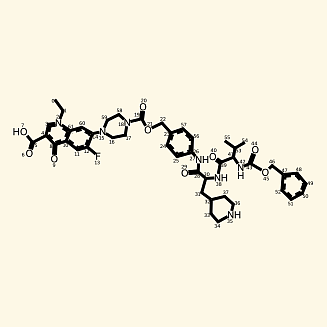 CCn1cc(C(=O)O)c(=O)c2cc(F)c(N3CCN(C(=O)OCc4ccc(NC(=O)C(CC5CCNCC5)NC(=O)C(NC(=O)OCc5ccccc5)C(C)C)cc4)CC3)cc21